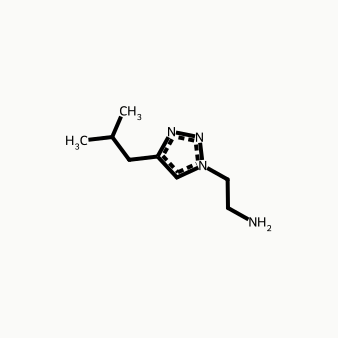 CC(C)Cc1cn(CCN)nn1